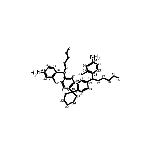 CCCCCC(c1ccc(C2(c3ccc(C(CCCCC)c4ccc(N)cc4C)cc3)CCCCC2)cc1)c1ccc(N)cc1C